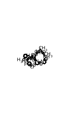 Cc1cccc(C[C@H](NC(=O)Nc2ccc(Cl)cc2F)C(=O)N[C@@H]2C(=O)N3C[C@H](O)CC[C@H]3C(=O)N3CCCC[C@H]3C(=O)N[C@@H](C)C(=O)N3C[C@H](C)C[C@H]3C(=O)O[C@H]2C)c1